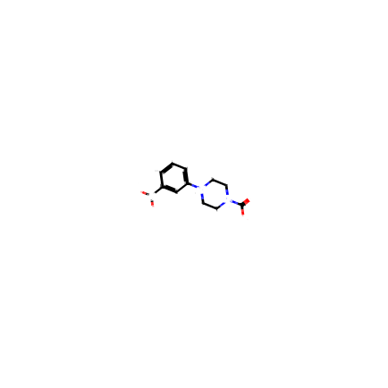 O=C(O)N1CCN(c2cccc(B(O)O)c2)CC1